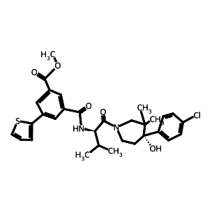 COC(=O)c1cc(C(=O)N[C@@H](C(=O)N2CC[C@](O)(c3ccc(Cl)cc3)C(C)(C)C2)C(C)C)cc(-c2cccs2)c1